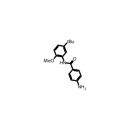 COc1ccc(C(C)(C)C)cc1NC(=O)c1ccc(N)cc1